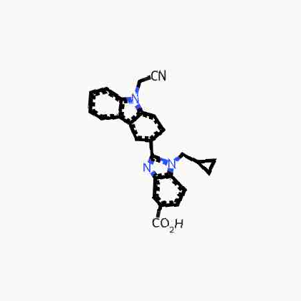 N#CCn1c2ccccc2c2cc(-c3nc4cc(C(=O)O)ccc4n3CC3CC3)ccc21